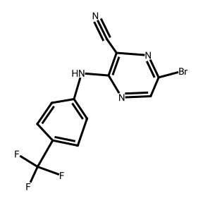 N#Cc1nc(Br)cnc1Nc1ccc(C(F)(F)F)cc1